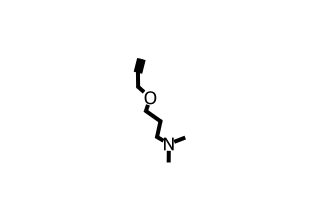 C#CCOCCCN(C)C